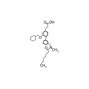 CCCCCCCC(=O)N(C)Cc1cccc(-c2ccc(CCC(=O)O)cc2OCC2CCCCC2)c1